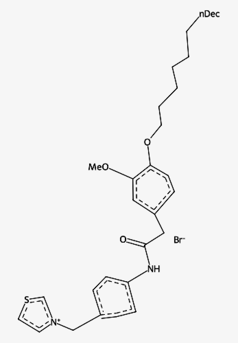 CCCCCCCCCCCCCCCCOc1ccc(CC(=O)Nc2ccc(C[n+]3ccsc3)cc2)cc1OC.[Br-]